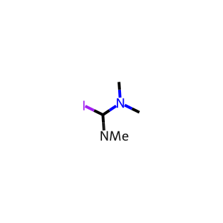 CNC(I)N(C)C